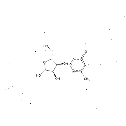 Cc1nccc(=O)[nH]1.OC[C@H]1OC(O)[C@H](O)[C@@H]1O